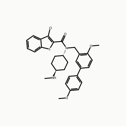 CN[C@H]1CC[C@H](N(Cc2cc(-c3ccc(OC)cc3)ccc2OC)C(=O)c2sc3ccccc3c2Cl)CC1